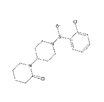 O=C1CCCCN1C1CCN([S+]([O-])c2ccccc2Cl)CC1